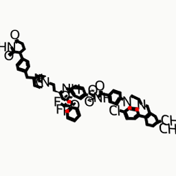 CC1(C)CCC(c2ccc(Cl)cc2)=C(CN2CCN(c3ccc(C(=O)NS(=O)(=O)c4ccc(N[C@H](CCN5CC6CCC5CN6Cc5ccc(C6CCC(=O)NC6=O)cc5)CSc5ccccc5)c(S(=O)(=O)C(F)(F)F)c4)cc3)CC2)C1